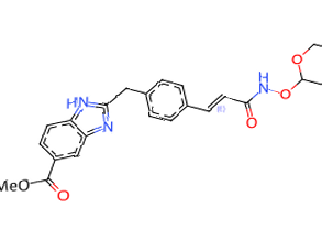 COC(=O)c1ccc2[nH]c(Cc3ccc(/C=C/C(=O)NOC4CCCCO4)cc3)nc2c1